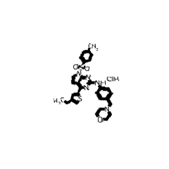 CCc1csc(-c2nc(Nc3ccc(CN4CCOCC4)cc3)nc3c2ccn3S(=O)(=O)c2ccc(C)cc2)c1.Cl